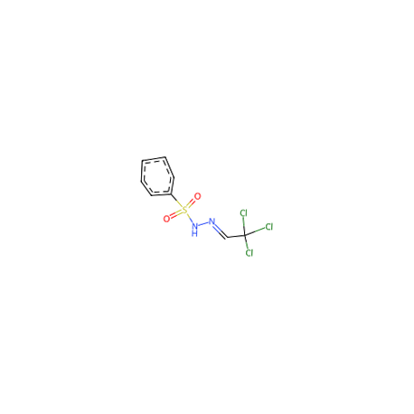 O=S(=O)(N/N=C/C(Cl)(Cl)Cl)c1ccccc1